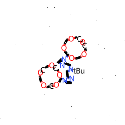 CC(C)(C)N(Cc1nccn1C1COCCOCCOCCOCCO1)Cc1nccn1C1COCCOCCOCCOCCO1